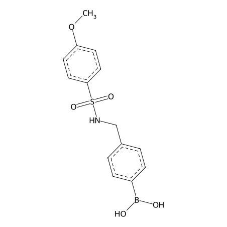 COc1ccc(S(=O)(=O)NCc2ccc(B(O)O)cc2)cc1